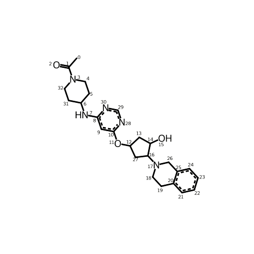 CC(=O)N1CCC(Nc2cc(OC3CC(O)C(N4CCc5ccccc5C4)C3)ncn2)CC1